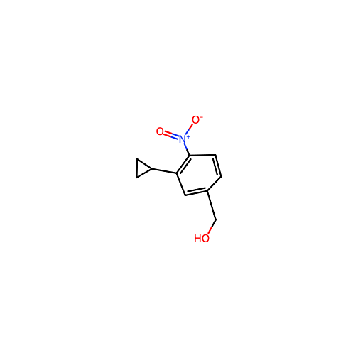 O=[N+]([O-])c1ccc(CO)cc1C1CC1